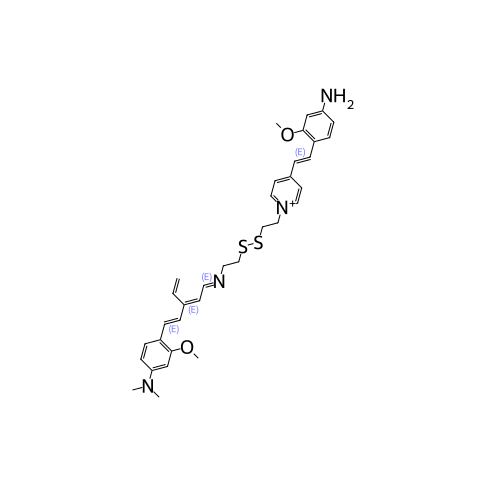 C=CC(/C=C/c1ccc(N(C)C)cc1OC)=C\C=N\CCSSCC[n+]1ccc(/C=C/c2ccc(N)cc2OC)cc1